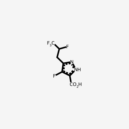 O=C(O)c1[nH]nc(CC(F)C(F)(F)F)c1F